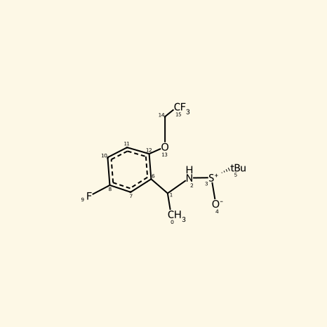 CC(N[S@@+]([O-])C(C)(C)C)c1cc(F)ccc1OCC(F)(F)F